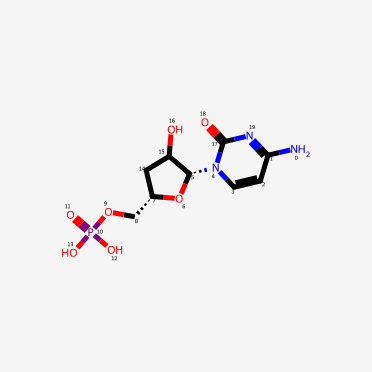 Nc1ccn([C@@H]2O[C@H](COP(=O)(O)O)CC2O)c(=O)n1